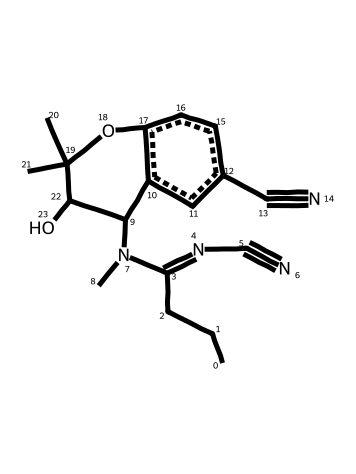 CCCC(=NC#N)N(C)C1c2cc(C#N)ccc2OC(C)(C)C1O